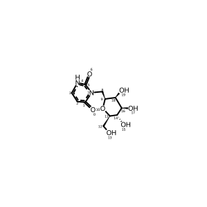 O=c1cc[nH]c(=O)n1C[C@@H]1O[C@H](CO)[C@@H](O)[C@H](O)[C@@H]1O